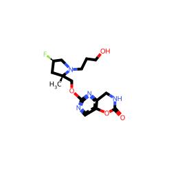 C[C@@]1(COc2ncc3c(n2)CNC(=O)O3)C[C@@H](F)CN1CCCO